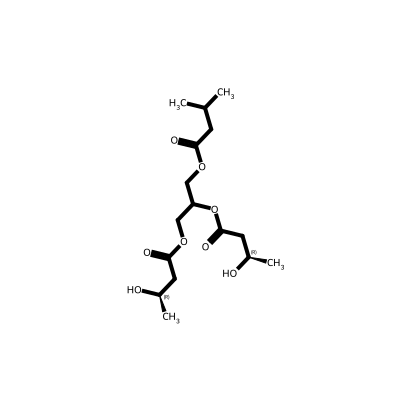 CC(C)CC(=O)OCC(COC(=O)C[C@@H](C)O)OC(=O)C[C@@H](C)O